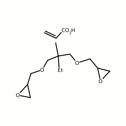 C=CC(=O)O.CCC(C)(COCC1CO1)COCC1CO1